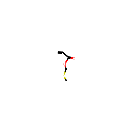 C=CC(=O)OCSC